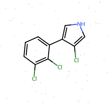 Clc1c[nH]cc1-c1cccc(Cl)c1Cl